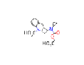 O=C(O)COC(=O)N(C1CC1)C1CC2C1Cc1ccccc1N2C(=O)O